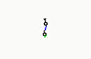 Clc1ccc(CCNCc2ccc(C3CC3)cc2)cc1Cl